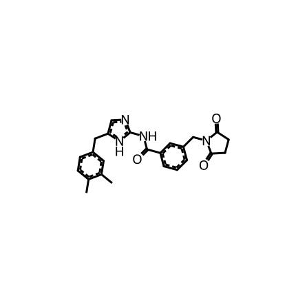 Cc1ccc(Cc2cnc(NC(=O)c3cccc(CN4C(=O)CCC4=O)c3)[nH]2)cc1C